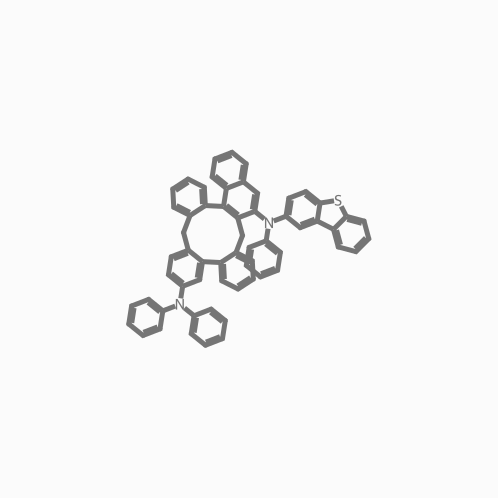 c1ccc(N(c2ccccc2)c2ccc3c(c2)-c2ccccc2Cc2c(N(c4ccccc4)c4ccc5sc6ccccc6c5c4)cc4ccccc4c2-c2ccccc2C3)cc1